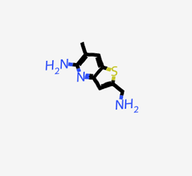 Cc1cc2sc(CN)cc2nc1N